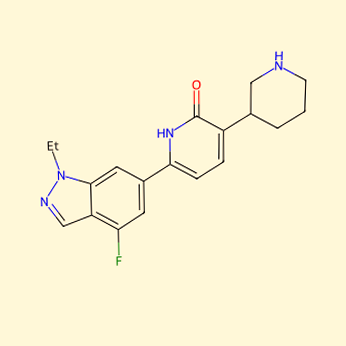 CCn1ncc2c(F)cc(-c3ccc(C4CCCNC4)c(=O)[nH]3)cc21